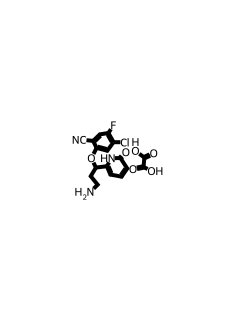 N#Cc1cc(F)c(Cl)cc1OC(CCN)c1cccc(=O)[nH]1.O=C(O)C(=O)O